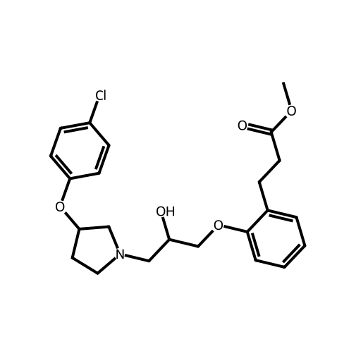 COC(=O)CCc1ccccc1OCC(O)CN1CCC(Oc2ccc(Cl)cc2)C1